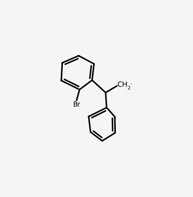 [CH2]C(c1ccccc1)c1ccccc1Br